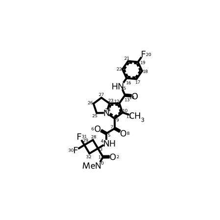 CNC(=O)C1(NC(=O)C(=O)c2c(C)c(C(=O)Nc3ccc(F)cc3)c3n2CCC3)CC(F)(F)C1